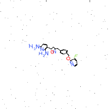 Nc1ccc(C2CC(Cc3ccc(COc4ncccc4F)cc3)=NO2)c(N)n1